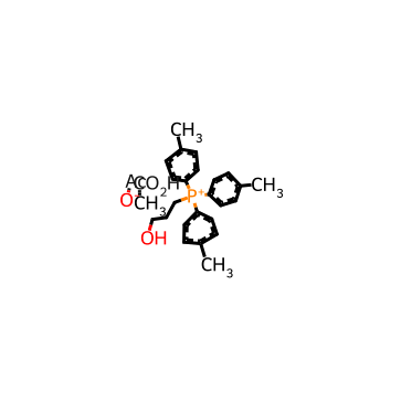 CC(=O)O.CC(=O)[O-].Cc1ccc([P+](CCCO)(c2ccc(C)cc2)c2ccc(C)cc2)cc1